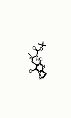 C[C@H](Cc1c(Cl)nc2ccnn2c1Cl)NC(=O)OC(C)(C)C